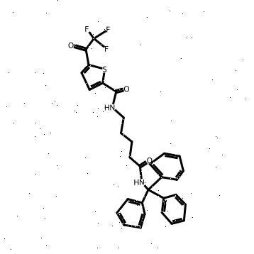 O=C(CCCCNC(=O)c1ccc(C(=O)C(F)(F)F)s1)NC(c1ccccc1)(c1ccccc1)c1ccccc1